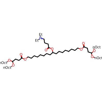 CCCCCCCCOC(CCC(=O)OCCCCCCCCC(CCCCCCCCOC(=O)CCC(OCCCCCCCC)OCCCCCCCC)OC(=O)CCCN(CC)CC)OCCCCCCCC